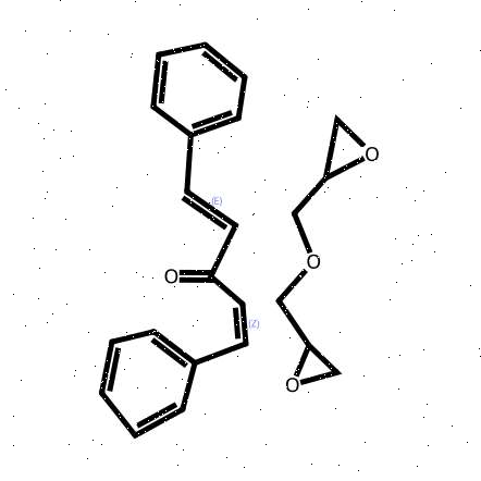 C(OCC1CO1)C1CO1.O=C(/C=C\c1ccccc1)/C=C/c1ccccc1